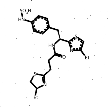 CCc1csc([C@H](Cc2ccc(NS(=O)(=O)O)cc2)NC(=O)CCC2=NC(CC)CS2)n1